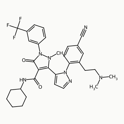 CN(C)CCc1cc(C#N)ccc1-n1nccc1-c1c(C(=O)NC2CCCCC2)c(=O)n(-c2cccc(C(F)(F)F)c2)n1C